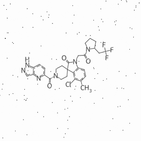 Cc1ccc2c(c1Cl)C1(CCN(C(=O)c3ccc4[nH]ncc4n3)CC1)C(=O)N2CC(=O)N1CCCC1CC(F)(F)F